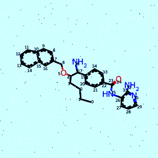 CCCCC(OCc1ccc2ccccc2c1)C(N)c1ccc(C(=O)Nc2cccnc2N)cc1